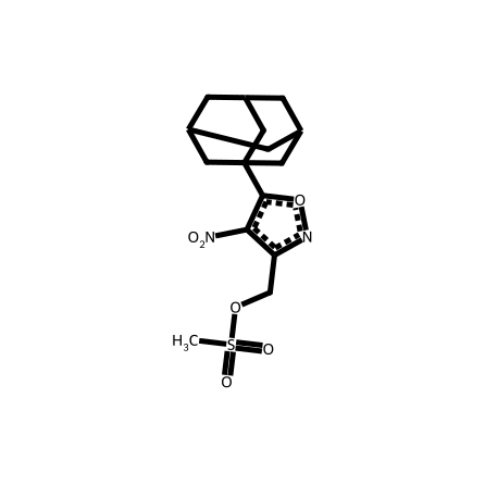 CS(=O)(=O)OCc1noc(C23CC4CC(CC(C4)C2)C3)c1[N+](=O)[O-]